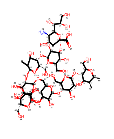 CC1C(O)[C@H](O[C@@H]2OC(CO)[C@H](O)C(O[C@]3(C(=O)O)C[C@@H](O)[C@@H](N)C([C@H](O)[C@H](O)CO)O3)[C@@H]2O)[C@H](CO)O[C@H]1O[C@@H]1C(O)[C@H](O)C(CO)O[C@@H]1OCC1O[C@@H](O[C@@H]2C(CO)O[C@@H](O[C@@H]3C(CO)O[C@@H](C)[C@@H](C)C3O)[C@@H](C)C2O)C(O)C(O[C@H]2O[C@H](CO)[C@@H](O)C(O)C2O)[C@@H]1O